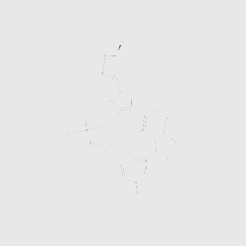 CC(C)Oc1cccc(-c2c[nH]c3ccc(-c4nnc(N5CC[C@@H](N)C5)s4)cc23)n1.O=C(O)C(F)(F)F